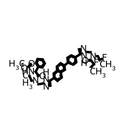 CCCC(=O)N(Cc1ncc(-c2ccc(-c3ccc4cc(-c5cnc(CN(CCC)C(=O)[C@H](NC(=O)OC)c6ccccc6)[nH]5)ccc4c3)cc2)[nH]1)CC(C)(F)F